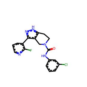 O=C(Nc1cccc(Cl)c1)N1CCc2[nH]nc(-c3cccnc3F)c2C1